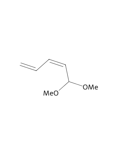 C=C/C=C\C(OC)OC